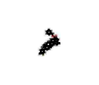 C=C(C)[C@@H]1CC[C@]2(C(=O)OCc3ccccc3)CC[C@]3(C)[C@H](CC[C@@H]4[C@@]5(C)CC=C(c6ccc(C)c(F)c6)C(C)(C)[C@@H]5CC[C@]43C)[C@@H]12